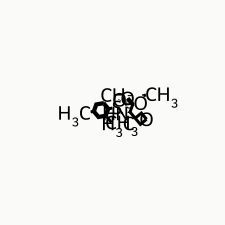 CCOC(=O)[C@@H](N[S+]([O-])c1c(C)cc(C)cc1C)C1(C)COC1